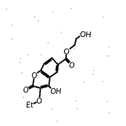 CCOc1c(O)c2cc(C(=O)OCCO)ccc2oc1=O